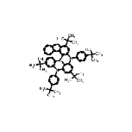 CC(C)(C)c1ccc(N2c3cc(C(C)(C)C)ccc3B3c4c2cc(C(C)(C)C)cc4N(c2ccc(C(C)(C)C)cc2)c2cc(C(C)(C)C)c4sc5ccccc5c4c23)cc1